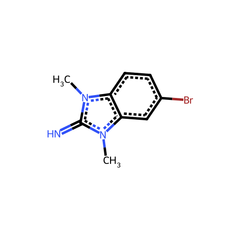 Cn1c(=N)n(C)c2cc(Br)ccc21